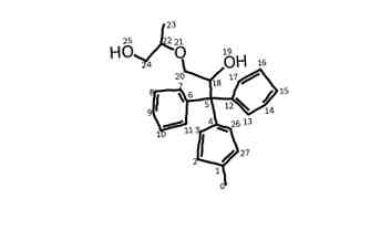 Cc1ccc(C(c2ccccc2)(c2ccccc2)C(O)COC(C)CO)cc1